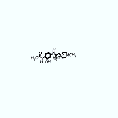 CC(=O)Nc1ccc(NC(=O)C[N+]2(C)CCN(C)CC2)cc1O